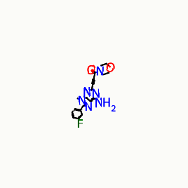 Cn1c(-c2cccc(F)c2)nc2c(N)nc(C#CC(=O)N3CCOCC3)nc21